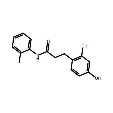 Cc1ccccc1NC(=O)CCc1ccc(O)cc1O